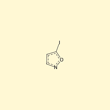 Ic1ccno1